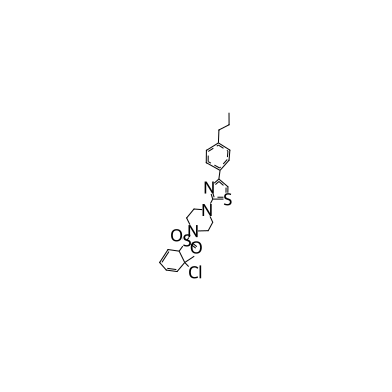 CCCc1ccc(-c2csc(N3CCN(S(=O)(=O)C4C=CC=CC4(C)Cl)CC3)n2)cc1